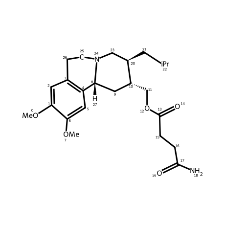 COc1cc2c(cc1OC)[C@H]1C[C@@H](COC(=O)CCC(N)=O)[C@H](CC(C)C)CN1CC2